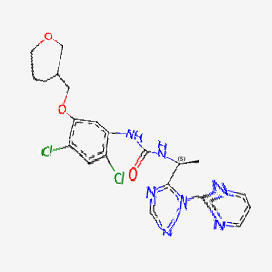 C[C@H](NC(=O)Nc1cc(OCC2CCOC2)c(Cl)cc1Cl)c1ncnn1-c1ncccn1